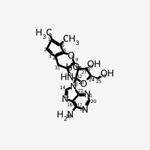 Cc1ccc2c(c1C)OCC(N[C@@]1(n3cnc4c(N)ncnc43)O[C@H](CO)[C@@H](O)[C@H]1O)C2